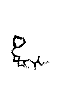 CCCCCC(C)C(=O)OC1NCC12CC(Oc1ccncc1)C2